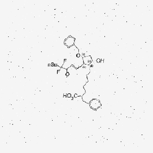 CCCCC(F)(F)C(=O)C=C[C@@H]1[C@@H](CCCCCC(Cc2ccccc2)C(=O)O)[C@@H](O)C[C@H]1OCc1ccccc1